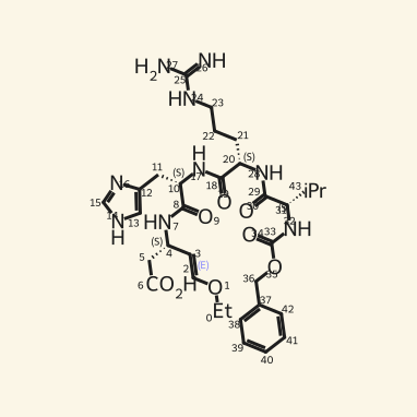 CCO/C=C/[C@H](CC(=O)O)NC(=O)[C@H](Cc1c[nH]cn1)NC(=O)[C@H](CCCNC(=N)N)NC(=O)[C@@H](NC(=O)OCc1ccccc1)C(C)C